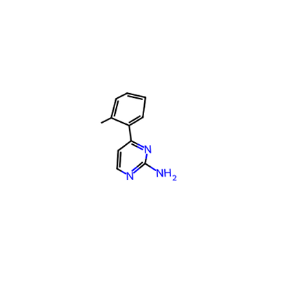 Cc1ccccc1-c1ccnc(N)n1